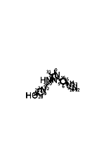 Cc1nc(-c2ccc(N3CCN(C)CC3)cc2)nc(NCCCN2CCC(O)CC2)c1C